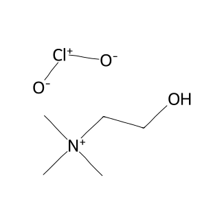 C[N+](C)(C)CCO.[O-][Cl+][O-]